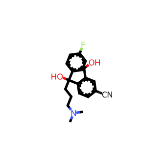 CN(C)CCCC(O)(c1ccc(F)cc1)c1ccc(C#N)cc1CO